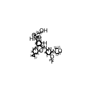 O=C(Nc1ccc(OCF)c(N2CCOCC2)n1)c1ccc(NS(=O)(=O)CCO)cc1N1CCC2(CC1)CC2